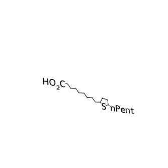 CCCCCC1CCC(CCCCCCCCC(=O)O)S1